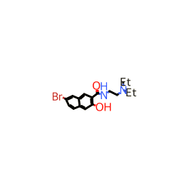 CCN(CC)CCNC(=O)c1cc2cc(Br)ccc2cc1O